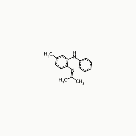 CC(C)=Nc1ccc(C)cc1Nc1ccccc1